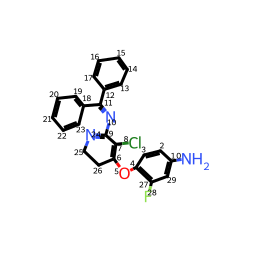 Nc1ccc(OC2=C(Cl)C(N=C(c3ccccc3)c3ccccc3)=NCC2)c(F)c1